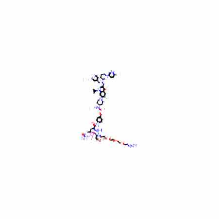 Cc1ccc(N2CCC[C@H](N(Cc3ccnc(C)c3)Cc3cn(C4CC4)c4cc(N5CCC(N(C)C(=O)OCc6ccc(NC(=O)C(CCCNC(N)=O)NC(=O)C(NC(=O)CCOCCOCCOCCN=[N+]=[N-])C(C)C)cc6)CC5)c(F)cc4c3=O)C2)cn1